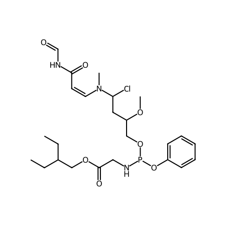 CCC(CC)COC(=O)CNP(OCC(CC(Cl)N(C)/C=C\C(=O)NC=O)OC)Oc1ccccc1